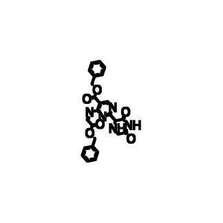 O=C1CNC(c2ncc(C(=O)OCc3ccccc3)c(/N=C\C(=O)OCc3ccccc3)n2)C(=O)N1